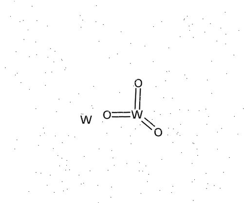 [O]=[W](=[O])=[O].[W]